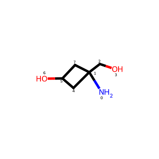 NC1(CO)CC(O)C1